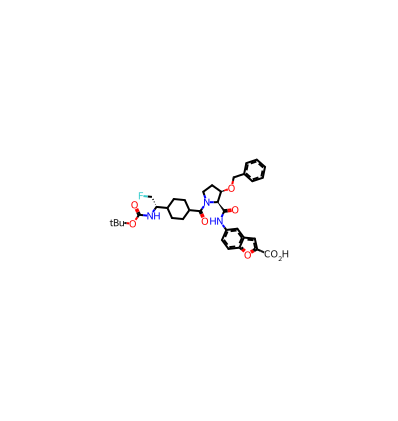 CC(C)(C)OC(=O)N[C@H](CF)C1CCC(C(=O)N2CC[C@@H](OCc3ccccc3)[C@H]2C(=O)Nc2ccc3oc(C(=O)O)cc3c2)CC1